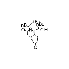 CCCCOc1cc2cc(=O)ccc-2c(OCCCC)n1CC(C)(C)C.Cl